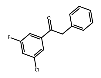 O=C(Cc1ccccc1)c1cc(F)cc(Cl)c1